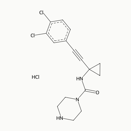 Cl.O=C(NC1(C#Cc2ccc(Cl)c(Cl)c2)CC1)N1CCNCC1